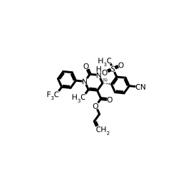 C=CCOC(=O)C1=C(C)N(c2cccc(C(F)(F)F)c2)C(=O)N[C@@H]1c1ccc(C#N)cc1S(C)(=O)=O